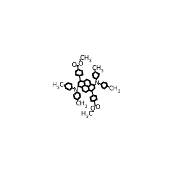 CCOC(=O)c1ccc(-c2cc(N(c3ccc(C)cc3)c3ccc(C)cc3)c3ccc4c(-c5ccc(C(=O)OCC)cc5)cc(N(c5ccc(C)cc5)c5ccc(C)cc5)c5ccc2c3c45)cc1